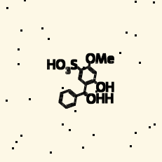 COc1cc(O)c(C(=O)c2ccccc2)cc1S(=O)(=O)O.[HH]